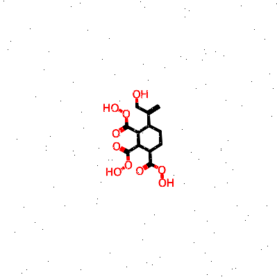 C=C(CO)C1CCC(C(=O)OO)C(C(=O)OO)C1C(=O)OO